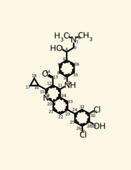 CN(C)CC(O)c1ccc(Nc2c(C=O)c(C3CC3)nc3ccc(-c4cc(Cl)c(O)c(Cl)c4)cc23)cc1